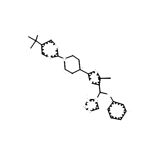 Cc1nc(C2CCN(c3ncc(C(F)(F)F)cn3)CC2)sc1C(Oc1ccccc1)n1cnnn1